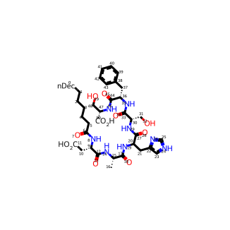 CCCCCCCCCCCCCCCC(=O)N[C@@H](CC(=O)O)C(=O)N[C@@H](C)C(=O)NC(Cc1c[nH]cn1)C(=O)N[C@@H](CO)C(=O)N[C@@H](Cc1ccccc1)C(=O)N[C@@H](CO)C(=O)O